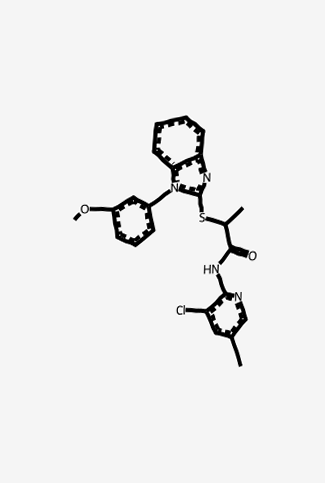 COc1cccc(-n2c(SC(C)C(=O)Nc3ncc(C)cc3Cl)nc3ccccc32)c1